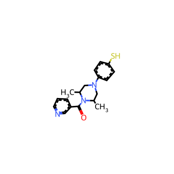 CC1CN(c2ccc(S)cc2)CC(C)N1C(=O)c1cccnc1